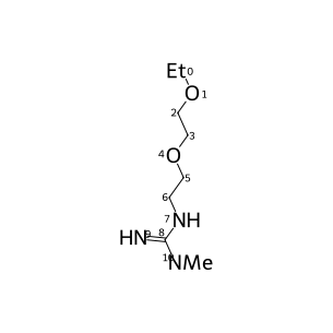 [CH2]COCCOCCNC(=N)NC